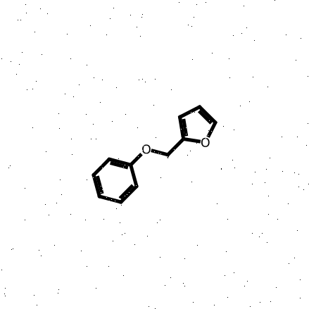 [CH](Oc1ccccc1)c1ccco1